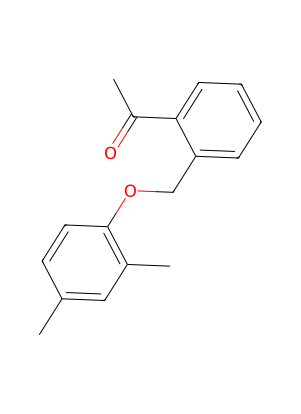 CC(=O)c1ccccc1COc1ccc(C)cc1C